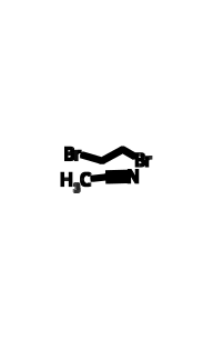 BrCCBr.CC#N